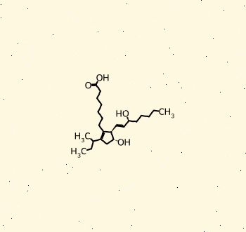 CCCCC[C@H](O)/C=C/[C@@H]1C(CCCCCCC(=O)O)=C(C(C)CC)C[C@H]1O